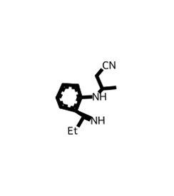 CCC(=N)c1ccccc1NC(C)CC#N